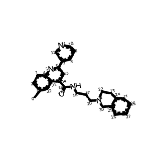 Cc1ccc2nc(-c3cccnc3)cc(C(=O)NCCCN3CCc4ccccc4C3)c2c1